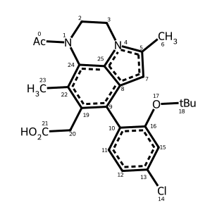 CC(=O)N1CCn2c(C)cc3c(-c4ccc(Cl)cc4OC(C)(C)C)c(CC(=O)O)c(C)c1c32